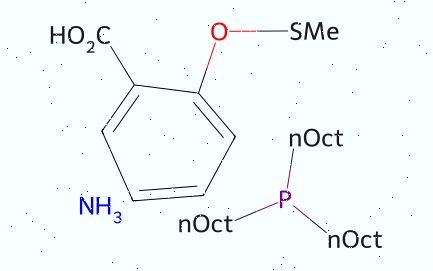 CCCCCCCCP(CCCCCCCC)CCCCCCCC.CSOc1ccccc1C(=O)O.N